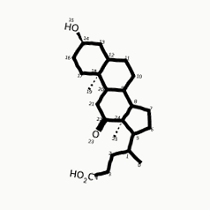 CC(CCC(=O)O)C1CCC2C3CCC4C[C@H](O)CC[C@]4(C)C3CC(=O)[C@]12C